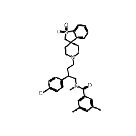 Cc1cc(C)cc(C(=O)N(C)CC(CCN2CCC3(CC2)CS(=O)(=O)c2ccccc23)c2ccc(Cl)cc2)c1